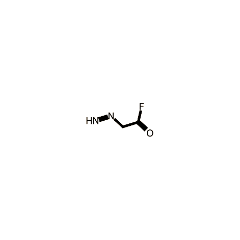 N=NCC(=O)F